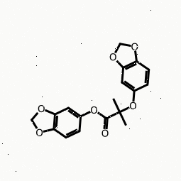 CC(C)(Oc1ccc2c(c1)OCO2)C(=O)Oc1ccc2c(c1)OCO2